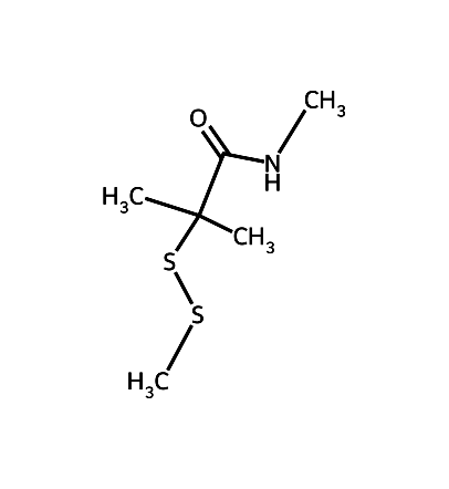 CNC(=O)C(C)(C)SSC